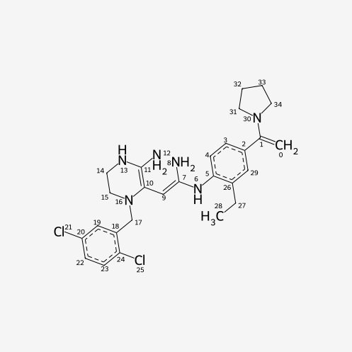 C=C(c1ccc(N/C(N)=C/C2=C(N)NCCN2Cc2cc(Cl)ccc2Cl)c(CC)c1)N1CCCC1